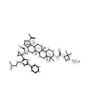 C=C(C)[C@@H]1CC[C@]2(C(=O)NC3(c4nc(-c5ccccc5)cn4CCN(C)C)CC3)CC[C@]3(C)[C@H](CC[C@@H]4[C@@]5(C)CC[C@H](OC(=O)[C@H]6C[C@@H](C(=O)O)C6(C)C)C(C)(C)[C@@H]5CC[C@]43C)[C@@H]12